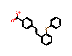 O=C(O)c1ccc(C=Cc2ccccc2Sc2ccccc2)cc1